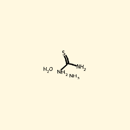 N.NC(N)=S.O